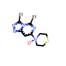 CCc1nnc2cc([N+]3([O-])CCSCC3)nc(CC)n12